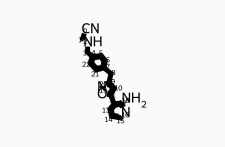 N#CCNCc1ccc(Cc2cc(-c3cccnc3N)on2)cc1